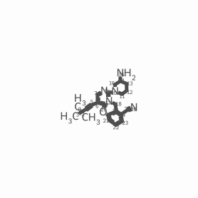 CC(C)(C)C#Cc1cnc(N2CCCC(N)C2)n(Cc2ccccc2C#N)c1=O